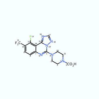 O=C(O)N1CCN(c2nc3ccc(C(F)(F)F)c(F)c3c3ncnn23)CC1